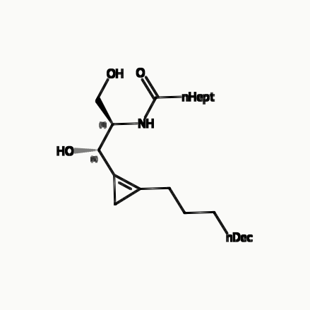 CCCCCCCCCCCCCC1=C([C@H](O)[C@@H](CO)NC(=O)CCCCCCC)C1